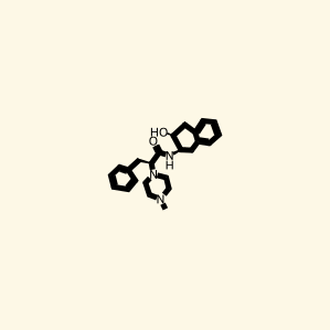 CN1CCN([C@@H](Cc2ccccc2)C(=O)N[C@@H]2Cc3ccccc3C[C@H]2O)CC1